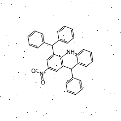 Nc1c(C(c2ccccc2)c2ccccc2)cc([N+](=O)[O-])cc1C(c1ccccc1)c1ccccc1